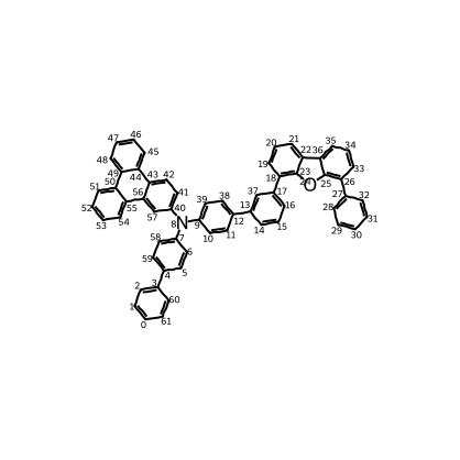 c1ccc(-c2ccc(N(c3ccc(-c4cccc(-c5cccc6c5oc5c(-c7ccccc7)cccc56)c4)cc3)c3ccc4c5ccccc5c5ccccc5c4c3)cc2)cc1